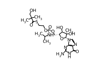 CC(C)NP(=O)(OCCSC(=O)C(C)(C)CO)OC[C@H]1O[C@@H](n2cnc3c(=O)[nH]c(N)nc32)[C@](C)(O)[C@@H]1O